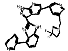 FC1(F)CCN(Cc2cncc(-c3cnc4[nH]nc(-c5nc6c(-c7cccnc7)cccc6[nH]5)c4c3)c2)C1